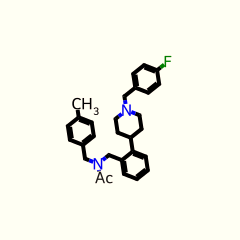 CC(=O)N(Cc1ccc(C)cc1)Cc1ccccc1C1CCN(Cc2ccc(F)cc2)CC1